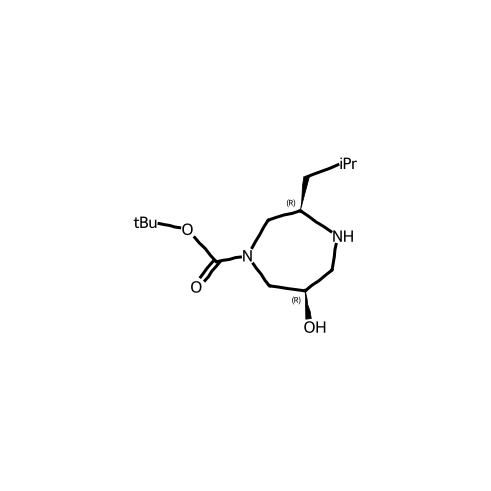 CC(C)C[C@@H]1CN(C(=O)OC(C)(C)C)C[C@H](O)CN1